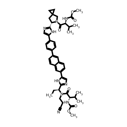 CC[C@@H](c1ncc(-c2ccc3cc(-c4ccc(-c5cnc([C@@H]6CC7(CC7)CN6C(=O)[C@@H](NC(=O)OC)C(C)C)[nH]5)cc4)ccc3c2)[nH]1)N(CCC#N)C(=O)[C@@H](NC(=O)OC)C(C)C